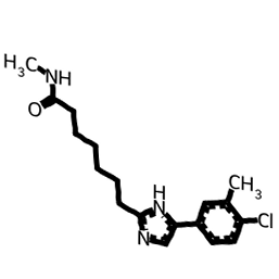 CNC(=O)CCCCCCc1ncc(-c2ccc(Cl)c(C)c2)[nH]1